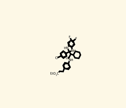 CCOC(=O)CCc1ccc(NC(=O)C(C2CCCCC2)C2(c3ccc(Cl)cc3)Nc3cc(F)c(F)cc3N2)cc1